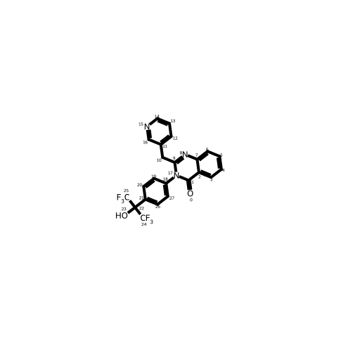 O=c1c2ccccc2nc(Cc2cccnc2)n1-c1ccc(C(O)(C(F)(F)F)C(F)(F)F)cc1